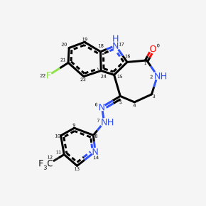 O=C1NCCC(=NNc2ccc(C(F)(F)F)cn2)c2c1[nH]c1ccc(F)cc21